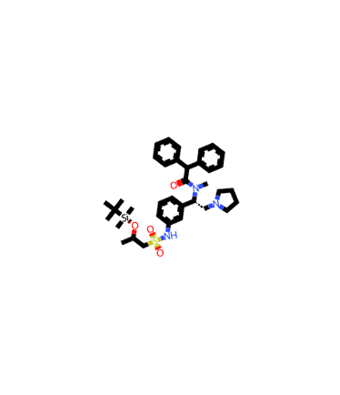 CC(CS(=O)(=O)Nc1cccc([C@@H](CN2CCCC2)N(C)C(=O)C(c2ccccc2)c2ccccc2)c1)O[Si](C)(C)C(C)(C)C